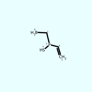 BCP(S)C=C